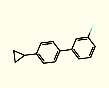 Fc1cccc(-c2c[c]c(C3CC3)cc2)c1